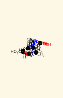 Cc1cc(C)c(Nc2nc(N(c3nc4ccc(S(=O)(=O)Nc5cc(C(=O)O)cc(C(=O)O)c5)cc4s3)c3c(C)cc(C)cc3C)cc(C)c2N=Nc2c(C#N)c(C(C)(C)C)nn2-c2nc3ccc(SOOO)cc3s2)c(C)c1